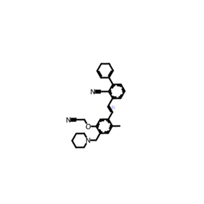 Cc1cc(CN2CCCCC2)c(OCC#N)cc1/C=C/c1cccc(C2=CCCC=C2)c1C#N